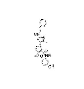 COc1ccc(-c2sc(NCCC3CCCCC3)nc2C)cc1S(=O)(=O)NC1CCCC(O)C1